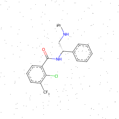 CC(C)NC[C@@H](NC(=O)c1cccc(C(F)(F)F)c1Cl)c1ccccc1